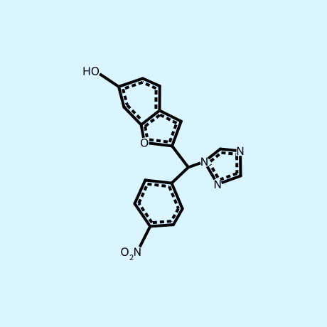 O=[N+]([O-])c1ccc(C(c2cc3ccc(O)cc3o2)n2cncn2)cc1